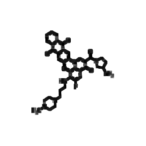 CN1CCN(CCCNc2c(F)cc3c(=O)c(C(=O)N4CCC(N)C4)cn4c5cc6c(=O)c7ccccc7c(=O)c6cc5oc2c34)CC1